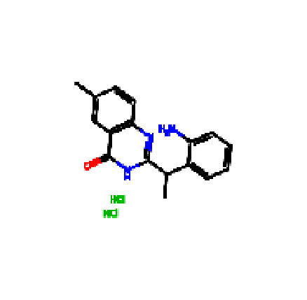 Cc1ccc2nc(C(C)c3ccccc3N)[nH]c(=O)c2c1.Cl.Cl